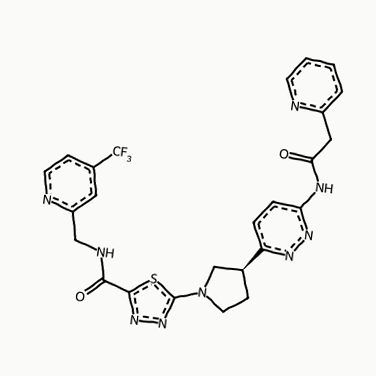 O=C(Cc1ccccn1)Nc1ccc([C@H]2CCN(c3nnc(C(=O)NCc4cc(C(F)(F)F)ccn4)s3)C2)nn1